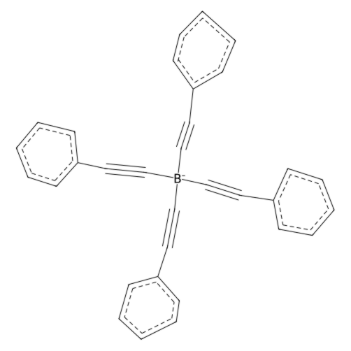 C(#C[B-](C#Cc1ccccc1)(C#Cc1ccccc1)C#Cc1ccccc1)c1ccccc1